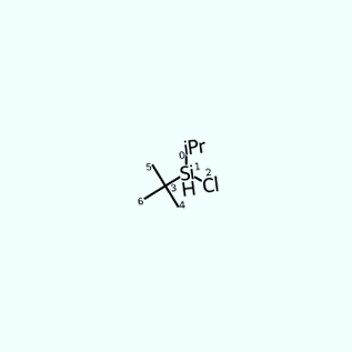 CC(C)[SiH](Cl)C(C)(C)C